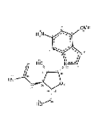 COc1nc(N)nc2c1ncn2[C@@H]1O[C@H](CO)[C@@H](OC(=O)C(C)(C)C)[C@@H]1O